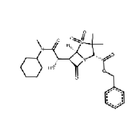 CN(C(=O)[C@@H](O)[C@@H]1C(=O)N2[C@@H](C(=O)OCc3ccccc3)C(C)(C)S(=O)(=O)[C@H]12)C1CCCCC1